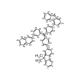 CC1(C)c2ccccc2-c2ccc(-c3ccc(N(c4ccc(-c5cccc6sc7ccccc7c56)cc4)c4cccc(-c5ccc6ccccc6c5)c4)cc3)cc21